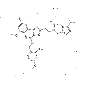 COc1ccc(CNc2nc3c(OC)cc(F)cc3c3nc(CCN4Cc5cnc(C(C)C)n5CC4=O)nn23)c(OC)c1